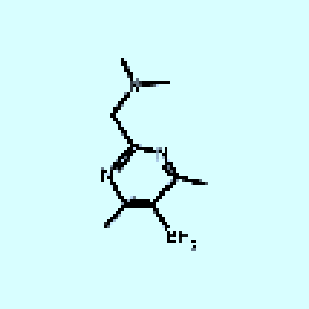 Bc1c(C)nc(CN(C)C)nc1C